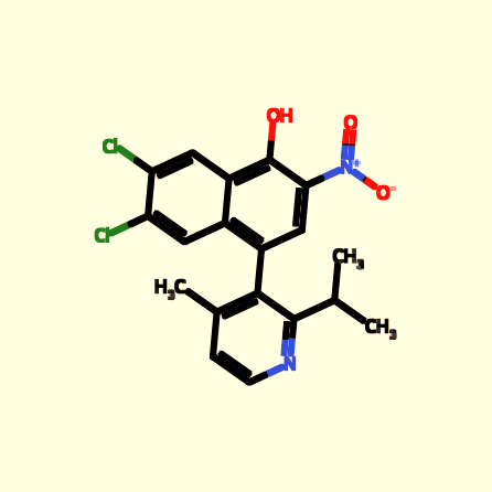 Cc1ccnc(C(C)C)c1-c1cc([N+](=O)[O-])c(O)c2cc(Cl)c(Cl)cc12